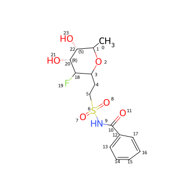 CC1OC(CCS(=O)(=O)NC(=O)c2ccccc2)C(F)[C@H](O)[C@@H]1O